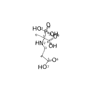 CC(NCCC(=O)O)(C(=O)O)P(=O)(O)O